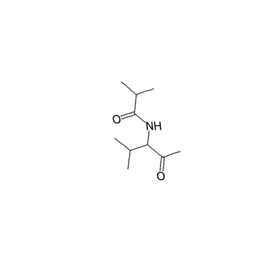 CC(=O)C(NC(=O)C(C)C)C(C)C